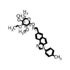 CCO[C@@H]1[C@@H](OC)[C@H](C)O[C@@H](O/N=C/c2ccc3c(ccc4c3ncn4-c3ccc(C)cc3)c2)[C@@H]1OC